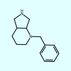 c1ccc(CN2CCCC3CNCC32)cc1